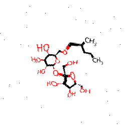 CCCC(C)COC[C@H]1O[C@H](O[C@]2(CO)O[C@H](CO)[C@@H](O)[C@@H]2O)[C@H](O)[C@@H](O)[C@@H]1O